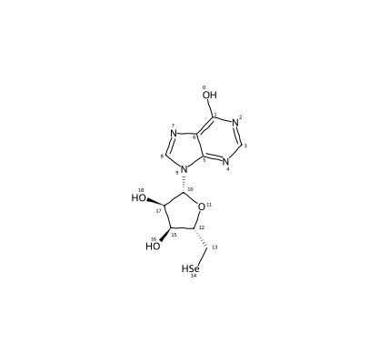 Oc1ncnc2c1ncn2[C@@H]1O[C@H](C[SeH])[C@@H](O)[C@H]1O